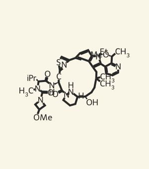 CCn1c(-c2cccnc2[C@H](C)OC)c2c3cc(ccc31)-c1csc(n1)C[C@H](NC(=O)[C@H](C(C)C)N(C)C(=O)N1CC(OC)C1)C(=O)N1CCC[C@H](N1)[C@H](O)CCC(C)(C)C2